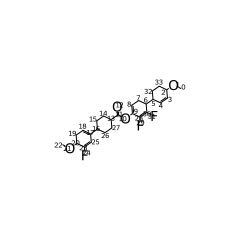 COC1C=CC(C2CC=C(OC(=O)C3CCC(C4=CCC(OC)C(F)=C4)CC3)C(F)=C2F)CC1